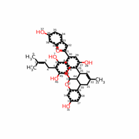 CC(C)=CCc1c(O)ccc(C23Oc4cc(O)ccc4C4CC(C)=CC(c5c(O)cc(-c6cc7ccc(O)cc7o6)cc5O2)C43)c1O